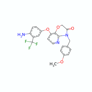 COc1ccc(CN2C(=O)COc3c(Oc4ccc(N)c(C(F)(F)F)c4)ccnc32)cc1